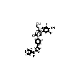 N#CCNC(=O)C(CN(C(=O)C(F)(F)F)c1ccc(-c2csc(Nc3ccncc3)n2)cc1)c1cc(I)c(O)c(I)c1